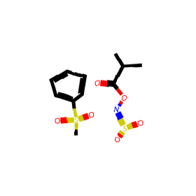 CC(C)C(=O)ON=S(=O)=O.CS(=O)(=O)c1ccccc1